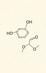 COC(C=O)OC.Oc1cccc(O)c1